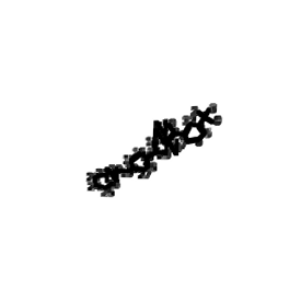 CC(C)(C)c1cccc(-c2cnn3cc(-c4ccc(CCN5CCCCC5)cc4)cnc23)c1